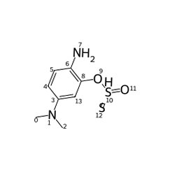 CN(C)c1ccc(N)c(O[SH](=O)=S)c1